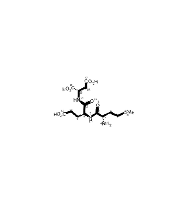 CSCC[C@H](N)C(=O)N[C@@H](CCC(=O)O)C(=O)N[C@@H](CC(=O)O)C(=O)O